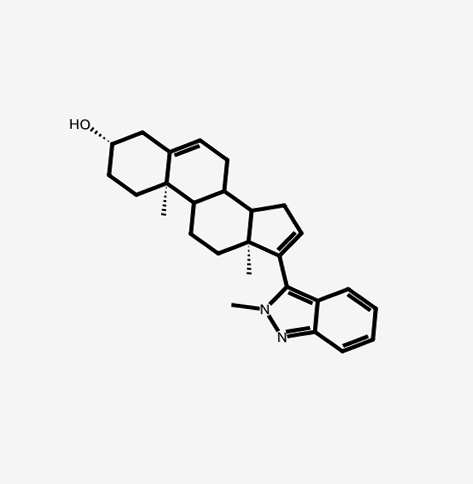 Cn1nc2ccccc2c1C1=CCC2C3CC=C4C[C@@H](O)CC[C@]4(C)C3CC[C@]12C